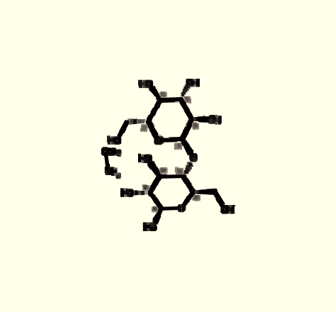 CON.OC[C@H]1O[C@H](O[C@H]2[C@H](O)[C@@H](O)[C@H](O)O[C@@H]2CO)[C@H](O)[C@@H](O)[C@@H]1O